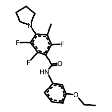 CCOc1cccc(NC(=O)c2c(F)c(C)c(N3CCCC3)c(F)c2F)c1